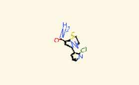 NC(=O)c1cc(-c2cccnc2Cl)n2c1SCC2